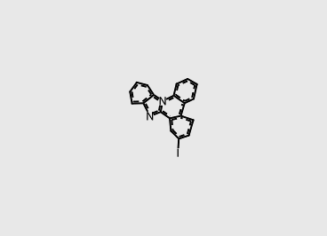 Ic1ccc2c3ccccc3n3c4ccccc4nc3c2c1